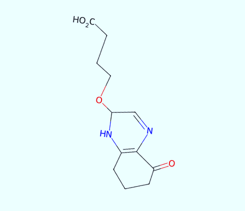 O=C(O)CCCOC1C=NC2=C(CCCC2=O)N1